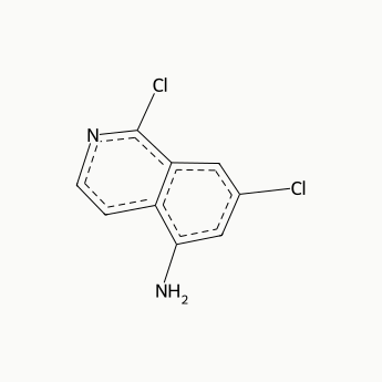 Nc1cc(Cl)cc2c(Cl)nccc12